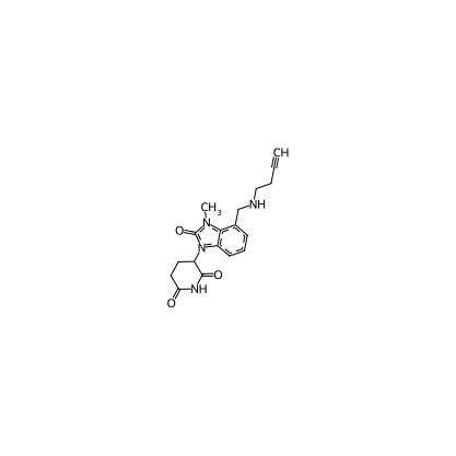 C#CCCNCc1cccc2c1n(C)c(=O)n2C1CCC(=O)NC1=O